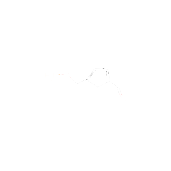 O=CC1=CC=C(COP)C1